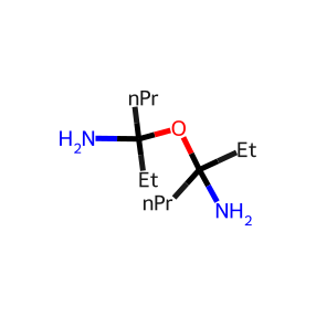 CCCC(N)(CC)OC(N)(CC)CCC